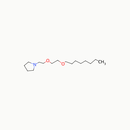 CCCCCCCCOCCOCCN1CCCC1